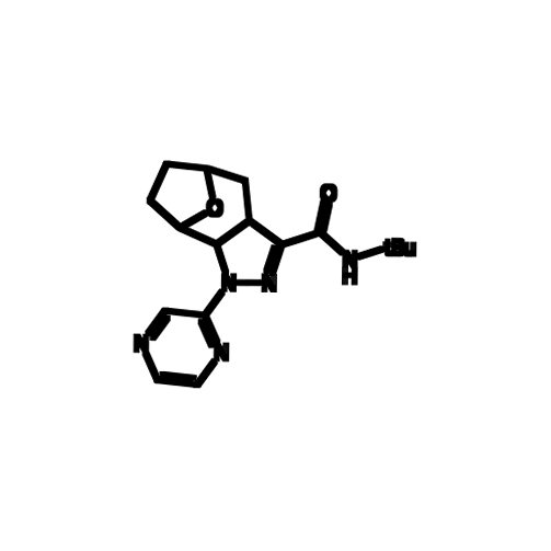 CC(C)(C)NC(=O)C1=NN(c2cnccn2)C2C3CCC(CC12)O3